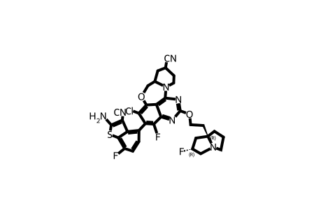 N#Cc1c(N)sc2c(F)ccc(-c3c(Cl)c4c5c(nc(OCC[C@@]67CCCN6C[C@H](F)C7)nc5c3F)N3CCC(C#N)CC3CO4)c12